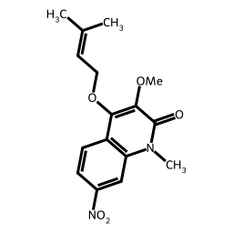 COc1c(OCC=C(C)C)c2ccc([N+](=O)[O-])cc2n(C)c1=O